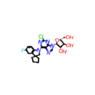 OC[C@H]1O[C@@H](n2cnc3c(N4CC5(CCCC5)c5cc(F)ccc54)nc(Cl)nc32)[C@@H](O)C1O